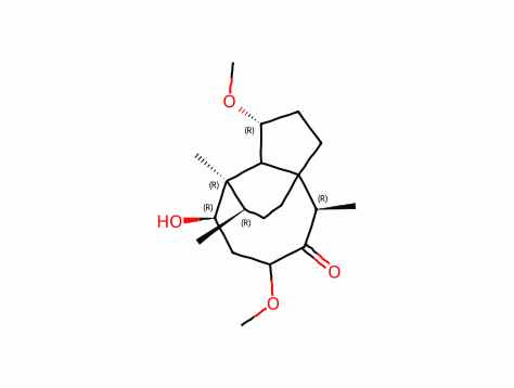 COC1C[C@@H](O)[C@@]2(C)C3[C@H](OC)CCC3(CC[C@H]2C)[C@@H](C)C1=O